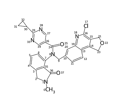 CN1Cc2cccc(N(Cc3ccc4c5c(c(Cl)nc4c3)COC5)C(=O)c3cnc(C4CC4)nc3)c2C1=O